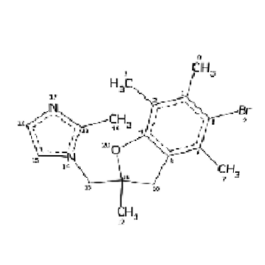 Cc1c(C)c2c(c(C)c1Br)CC(C)(Cn1ccnc1C)O2